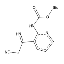 CC(C)(C)OC(=O)Nc1ncccc1C(=N)CC#N